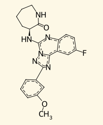 COc1cccc(-c2nc3c4cc(F)ccc4nc(N[C@H]4CCCCNC4=O)n3n2)c1